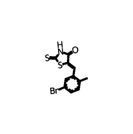 Cc1ccc(Br)cc1/C=C1\SC(=S)NC1=O